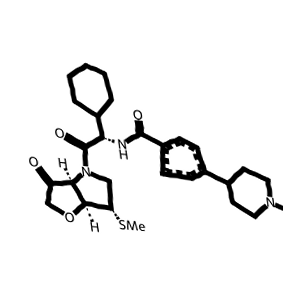 CCN1CCC(c2ccc(C(=O)N[C@H](C(=O)N3C[C@H](SC)[C@H]4OCC(=O)[C@H]43)C3CCCCC3)cc2)CC1